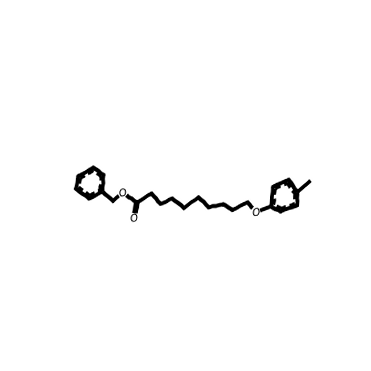 Cc1ccc(OCCCCCCCCCC(=O)OCc2ccccc2)cc1